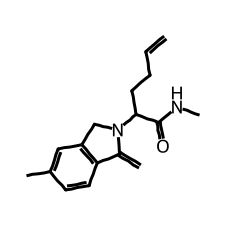 C=CCCC(C(=O)NC)N1Cc2cc(C)ccc2C1=C